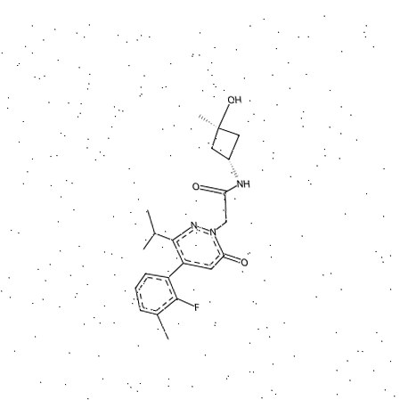 Cc1cccc(-c2cc(=O)n(CC(=O)N[C@H]3C[C@](C)(O)C3)nc2C(C)C)c1F